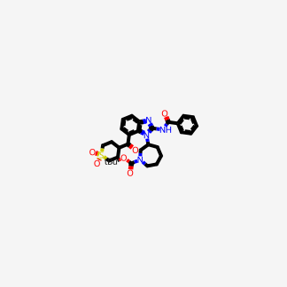 CC(C)(C)OC(=O)N1CCCCC(n2c(NC(=O)c3ccccc3)nc3cccc(C(=O)C4CCS(=O)(=O)CC4)c32)C1